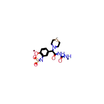 CNC(=O)NC(=O)C(c1ccc(OC)c(N=S(=O)=O)c1)N1CCSCC1